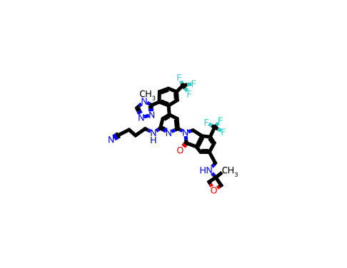 Cn1cnnc1-c1ccc(C(F)(F)F)cc1-c1cc(NCCCC#N)nc(N2Cc3c(cc(CNC4(C)COC4)cc3C(F)(F)F)C2=O)c1